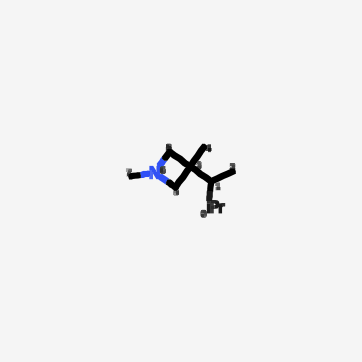 CC(C)C(C)C1(C)CN(C)C1